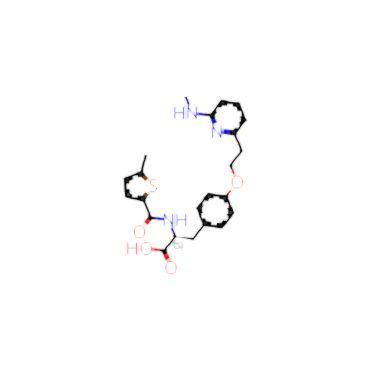 CNc1cccc(CCOc2ccc(C[C@H](NC(=O)c3ccc(C)s3)C(=O)O)cc2)n1